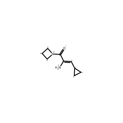 NC(=CC1CC1)C(=O)N1CCC1